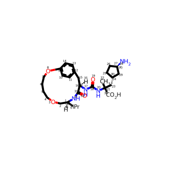 CC(C)[C@H]1COCCCCOc2ccc(cc2)C[C@@H](NC(=O)NC(C)(C[C@@H]2CC[C@@H](N)C2)C(=O)O)C(=O)N1